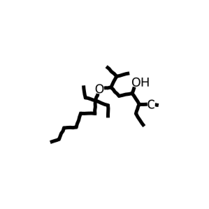 CCCCCCC(CC)(CC)OC(CC(O)C(CC)CC)C(C)C